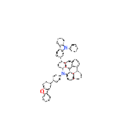 c1ccc(-n2c3ccccc3c3ccc(-c4ccc(N(c5ccc(-c6ccc7oc8ccccc8c7c6)cc5)c5ccccc5-c5cccc6cccc(C7CCCCC7)c56)cc4)cc32)cc1